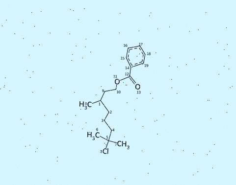 CC(CCCC(C)(C)Cl)CCOC(=O)c1ccccc1